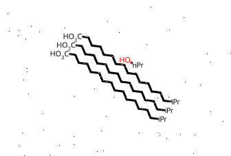 CC(C)CCCCCCCCCCCCCCC(=O)O.CC(C)CCCCCCCCCCCCCCC(=O)O.CC(C)CCCCCCCCCCCCCCC(=O)O.CCCO